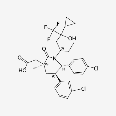 CC[C@@H](CC(O)(C1CC1)C(F)(F)F)N1C(=O)[C@](C)(CC(=O)O)C[C@H](c2cccc(Cl)c2)[C@H]1c1ccc(Cl)cc1